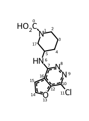 O=C(O)N1CCCC(Nc2nnc(Cl)c3occc23)C1